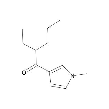 CCCC(CC)C(=O)c1ccn(C)c1